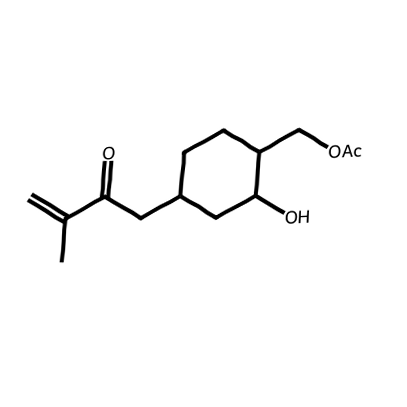 C=C(C)C(=O)CC1CCC(COC(C)=O)C(O)C1